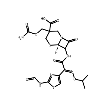 CC(C)ON=C(C(=O)NC1C(=O)N2CC(COC(N)=O)(C(=O)O)CS[C@H]12)c1csc(NC=O)n1